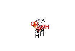 C[SiH](C)OCC1[C@H](OS(C)(=O)=O)[C@@H](C(C)(C)C)[C@@H](C(C)(C)C)C[C@]1(O)O[SiH](C)C